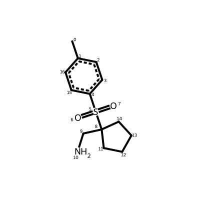 Cc1ccc(S(=O)(=O)C2(CN)CCCC2)cc1